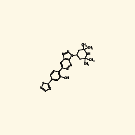 CC1(C)CC(n2nnc3cc(-c4ccc(-c5ncns5)cc4O)nnc32)CC(C)(C)N1